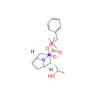 CC(O)C[C@@H]1[C@H]2CC[C@@H](CN1C(=O)OCc1ccccc1)N2C(=O)OC(C)(C)C